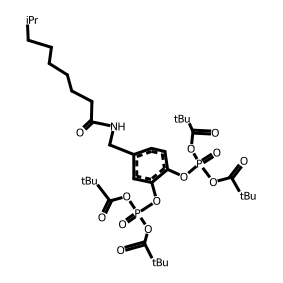 CC(C)CCCCCCC(=O)NCc1ccc(OP(=O)(OC(=O)C(C)(C)C)OC(=O)C(C)(C)C)c(OP(=O)(OC(=O)C(C)(C)C)OC(=O)C(C)(C)C)c1